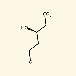 O=C(O)C[C@H](O)CCO